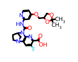 CC1(C)OCC(COc2ccnc(NC(=O)N3c4nc(C(=O)O)c(F)cc4N4CCC3C4)c2)O1